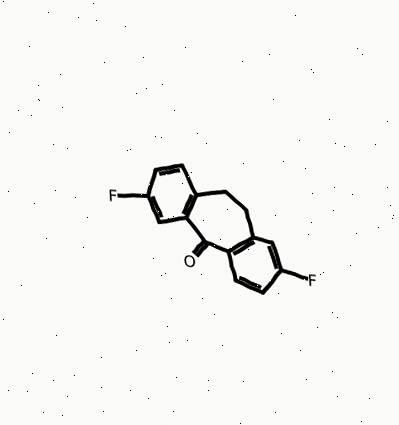 O=C1c2ccc(F)cc2CCc2ccc(F)cc21